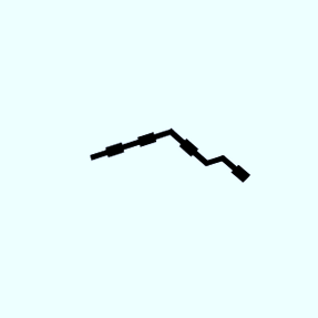 C#CCCC#C[CH]C#CC#CC